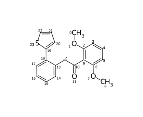 COc1cccc(OC)c1C(=O)Cc1ccccc1-c1cccs1